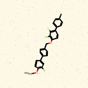 CCCCCOc1ccc(-c2ccc(COc3ccc(-c4ccc(C)cc4)c(F)c3F)cc2)cc1F